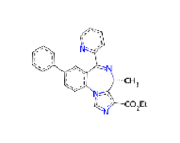 CCOC(=O)c1ncn2c1[C@@H](C)N=C(c1ccccn1)c1cc(-c3ccccc3)ccc1-2